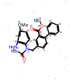 CCCCC(=O)N(Cc1ccc(-c2ccccc2)c(C(=O)OC(C)(C)C)c1)c1ccc(OC)cc1N